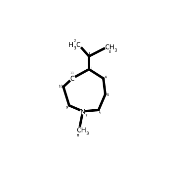 CC(C)C1CCCN(C)CCC1